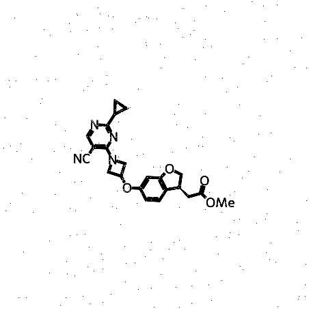 COC(=O)C[C@@H]1COc2cc(OC3CN(c4nc(C5CC5)ncc4C#N)C3)ccc21